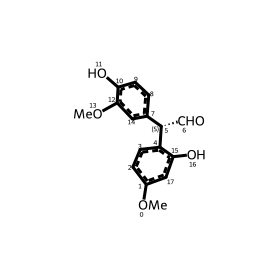 COc1ccc([C@@H](C=O)c2ccc(O)c(OC)c2)c(O)c1